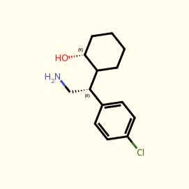 NC[C@@H](c1ccc(Cl)cc1)C1CCCC[C@H]1O